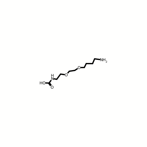 NCCCCOCCOCCNC(=O)O